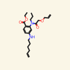 C=CCCCCNc1ccc(C(=O)OCC)c(N(CCC)C(=O)COCC=C)c1